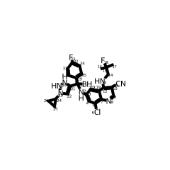 BC(Nc1cc(Cl)c2ncc(C#N)c(NCC(C)(C)F)c2c1)(C1=CN(C2CC2)NN1)c1ccc(F)cc1